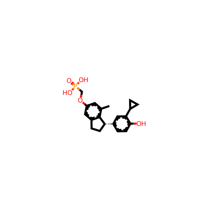 Cc1cc(OCP(=O)(O)O)cc2c1[C@H](c1ccc(O)c(C3CC3)c1)CC2